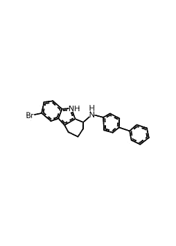 Brc1ccc2[nH]c3c(c2c1)CCCC3Nc1ccc(-c2ccccc2)cc1